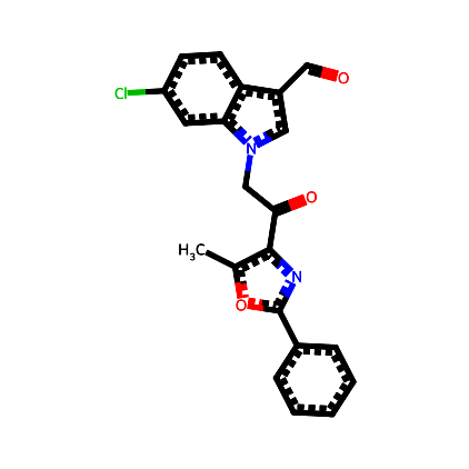 Cc1oc(-c2ccccc2)nc1C(=O)Cn1cc(C=O)c2ccc(Cl)cc21